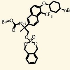 CCCC[C@H]1CC[C@@H](Oc2ccc3cc([C@](C)(COP4(=O)OCc5ccccc5CO4)NC(=O)OC(C)(C)C)ccc3c2C(F)(F)F)CC1